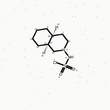 O=S(=O)(Cl)NN1CC[C@@H]2CCCC[C@@H]2C1